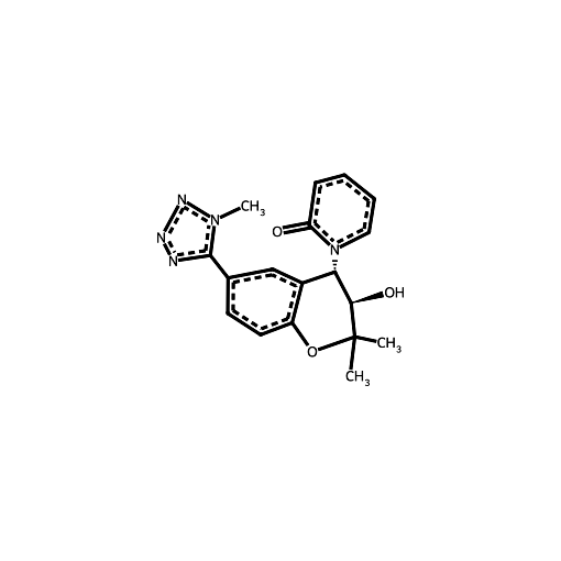 Cn1nnnc1-c1ccc2c(c1)[C@H](n1ccccc1=O)[C@@H](O)C(C)(C)O2